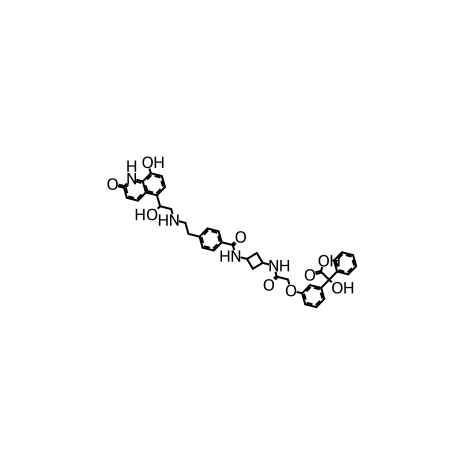 O=C(COc1cccc(C(O)(C(=O)O)c2ccccc2)c1)NC1CC(NC(=O)c2ccc(CCNCC(O)c3ccc(O)c4[nH]c(=O)ccc34)cc2)C1